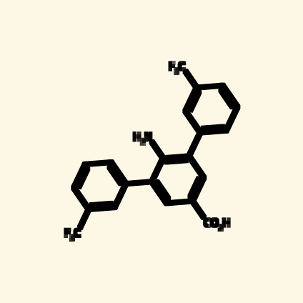 Nc1c(-c2cccc(C(F)(F)F)c2)cc(C(=O)O)cc1-c1cccc(C(F)(F)F)c1